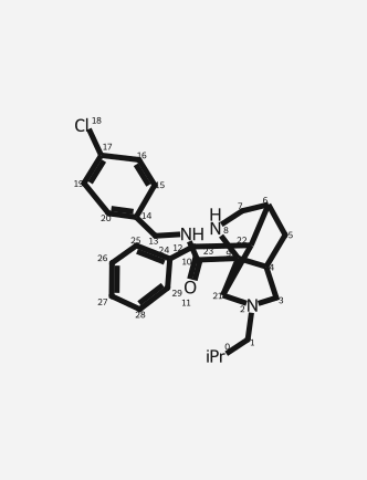 CC(C)CN1CC2CC3CNC2(C(=O)NCc2ccc(Cl)cc2)C1C3Cc1ccccc1